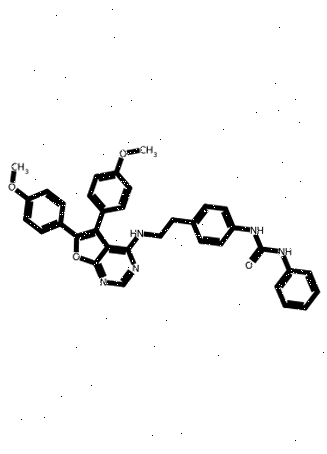 COc1ccc(-c2oc3ncnc(NCCc4ccc(NC(=O)Nc5ccccc5)cc4)c3c2-c2ccc(OC)cc2)cc1